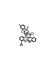 Cc1ccc(C(F)(F)CNC(=O)c2c([S+]([O-])c3cccc(C4CC4)c3F)nnc3ccccc23)c(Cl)c1